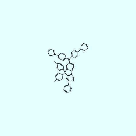 Cc1ccc(C2(c3ccc(C)cc3)c3cc(-c4ccccc4)ccc3-c3ccc(N(c4ccc(-c5ccccc5)cc4)c4ccc(-c5ccccc5)cc4)cc32)cc1